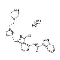 CCc1nn(Cc2ccn(CCN3CCNCC3)n2)c2cccc(NC(=O)c3cnc4ccccn34)c12.Cl.Cl.Cl